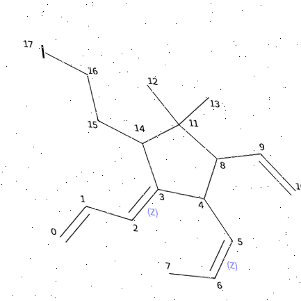 C=C/C=C1/C(/C=C\C)C(C=C)C(C)(C)C1CCI